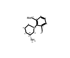 CNc1cccc(F)c1N1CCC[C@@H](N)C1